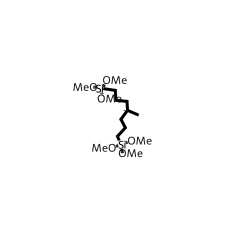 CO[Si](CCC[C](C)CCC[Si](OC)(OC)OC)(OC)OC